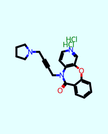 Cl.Cl.O=C1c2ccccc2Oc2cnccc2N1CC#CCN1CCCC1